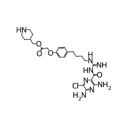 N=C(NCCCCc1ccc(OCC(=O)OCC2CCNCC2)cc1)NC(=O)c1nc(Cl)c(N)nc1N